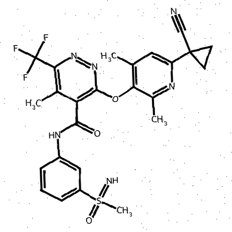 Cc1cc(C2(C#N)CC2)nc(C)c1Oc1nnc(C(F)(F)F)c(C)c1C(=O)Nc1cccc(S(C)(=N)=O)c1